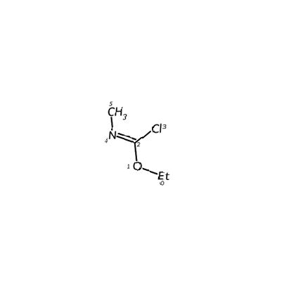 CCOC(Cl)=NC